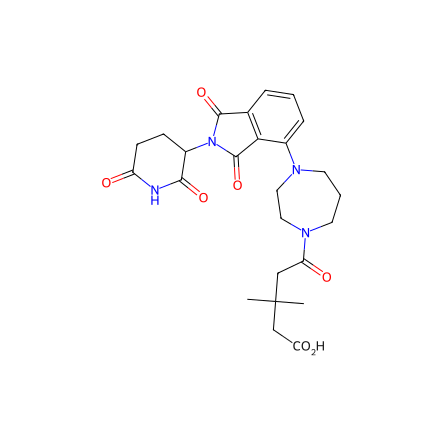 CC(C)(CC(=O)O)CC(=O)N1CCCN(c2cccc3c2C(=O)N(C2CCC(=O)NC2=O)C3=O)CC1